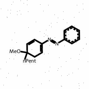 CCCCCC1(OC)C=CC(N=Nc2ccccc2)=CC1